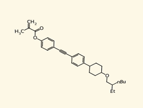 C=C(C)C(=O)Oc1ccc(C#Cc2ccc(C3CCC(OCC(CC)CCCC)CC3)cc2)cc1